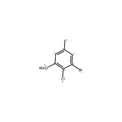 COc1cc(C)cc(Br)c1Cl